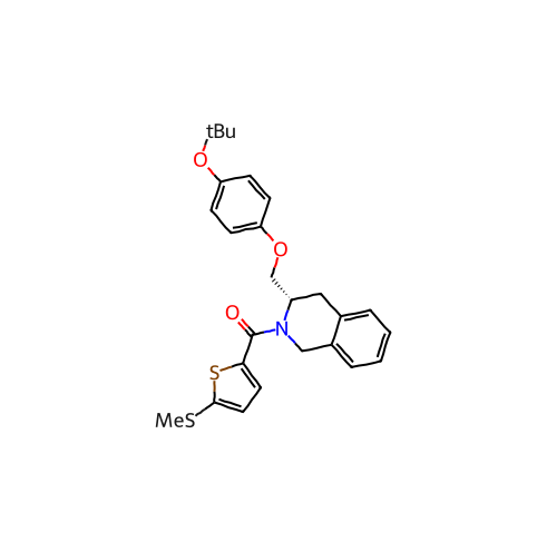 CSc1ccc(C(=O)N2Cc3ccccc3C[C@H]2COc2ccc(OC(C)(C)C)cc2)s1